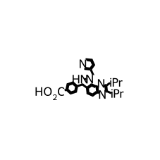 CC(C)c1nc2ccc3c(c2nc1C(C)C)N(Cc1cccnc1)NC3c1ccc(C(=O)O)cc1